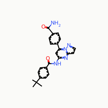 CC(C)(C)c1ccc(C(=O)Nc2cc(-c3ccc(C(N)=O)cc3)n3nccc3n2)cc1